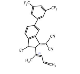 C=C/C=C(\C)C1C(=C(C#N)C#N)c2cc(-c3cc(C(F)(F)F)cc(C(F)(F)F)c3)ccc2C1CC